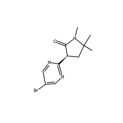 CN1C(=O)[C@H](c2ncc(Br)cn2)CC1(C)C